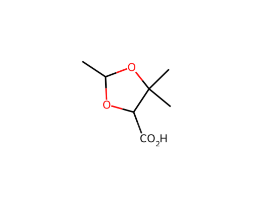 CC1OC(C(=O)O)C(C)(C)O1